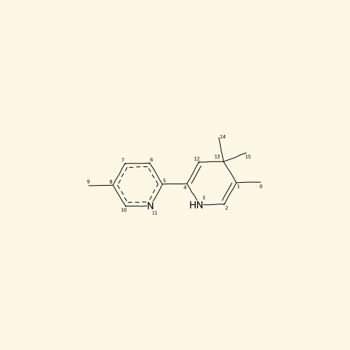 CC1=CNC(c2ccc(C)cn2)=CC1(C)C